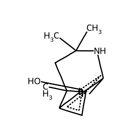 CC1(C)CC2(C)c3cc2c(cc3O)N1